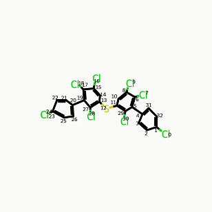 Clc1ccc(-c2c(Cl)c(Cl)cc(Sc3cc(Cl)c(Cl)c(-c4ccc(Cl)cc4)c3Cl)c2Cl)cc1